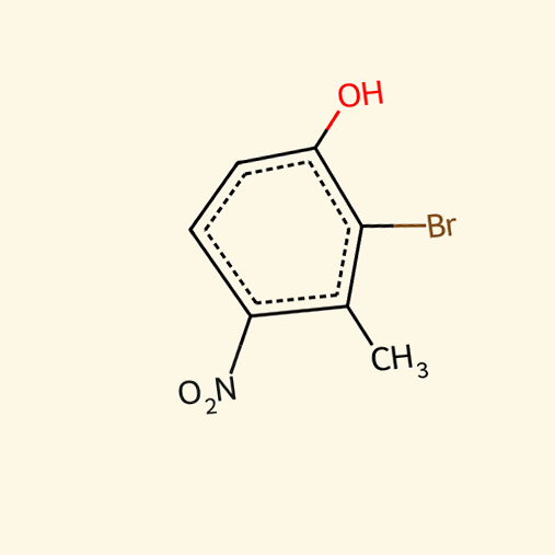 Cc1c([N+](=O)[O-])ccc(O)c1Br